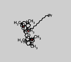 CC(C)CCCCCCCCCCCCNC(=O)C(C[C@H]1O[C@@H]2O[C@]3(C)CC[C@H]4[C@H](C)CC[C@@H]([C@H]1C)[C@@]24OO3)C[C@H]1O[C@@H]2O[C@]3(C)CC[C@H]4[C@H](C)CC[C@@H]([C@H]1C)[C@@]24OO3